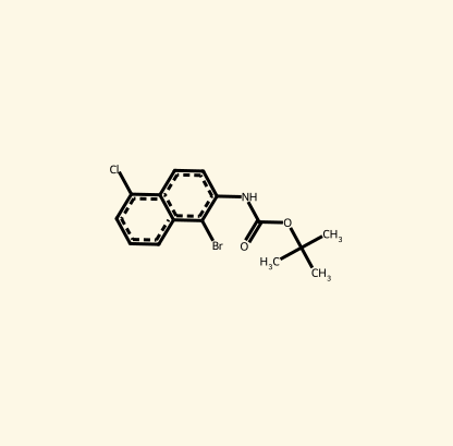 CC(C)(C)OC(=O)Nc1ccc2c(Cl)cccc2c1Br